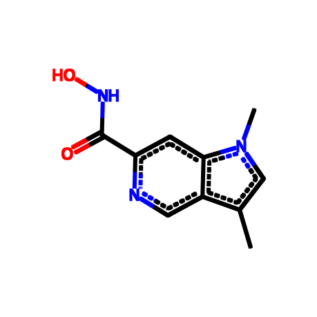 Cc1cn(C)c2cc(C(=O)NO)ncc12